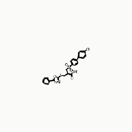 O=C(O)C(CSc1nnc(-c2ccccc2)o1)CS(=O)(=O)c1ccc(-c2ccc(Cl)cc2)cc1